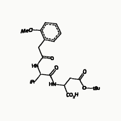 COc1ccccc1CC(=O)NC(C(=O)NC(CC(=O)OC(C)(C)C)C(=O)O)C(C)C